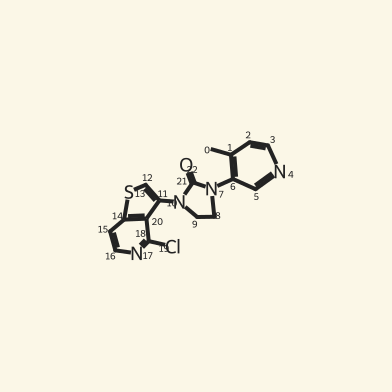 Cc1ccncc1N1CCN(c2csc3ccnc(Cl)c23)C1=O